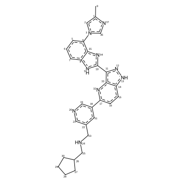 Cc1cn(-c2cccc3[nH]c(-c4n[nH]c5ccc(-c6cncc(CNCC7CCCC7)c6)nc45)nc23)cn1